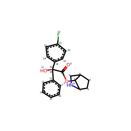 O=C(OC1C2CCC1NC2)[C@](O)(c1ccccc1)c1ccc(F)cc1